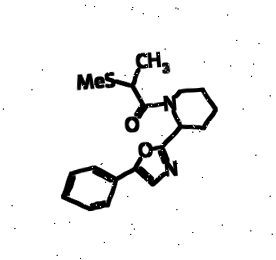 CSC(C)C(=O)N1CCCCC1c1ncc(-c2ccccc2)o1